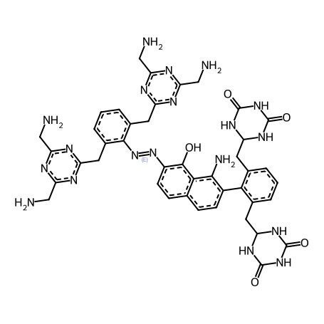 NCc1nc(CN)nc(Cc2cccc(Cc3nc(CN)nc(CN)n3)c2/N=N/c2ccc3ccc(-c4c(CC5NC(=O)NC(=O)N5)cccc4CC4NC(=O)NC(=O)N4)c(N)c3c2O)n1